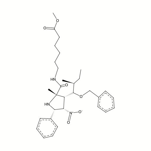 CC[C@H](C)C(OCc1ccccc1)[C@@H]1[C@H]([N+](=O)[O-])[C@H](c2ccccc2)N[C@]1(C)C(=O)NCCCCCC(=O)OC